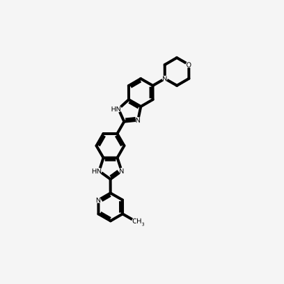 Cc1ccnc(-c2nc3cc(-c4nc5cc(N6CCOCC6)ccc5[nH]4)ccc3[nH]2)c1